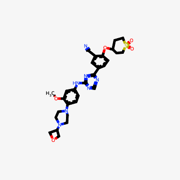 COc1cc(Nc2ncnc(-c3ccc(OC4CCS(=O)(=O)CC4)c(C#N)c3)n2)ccc1N1CCN(C2COC2)CC1